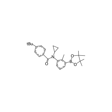 Cc1c(B2OC(C)(C)C(C)(C)O2)cccc1N(C(=O)c1ccc(C(C)(C)C)cc1)C1CC1